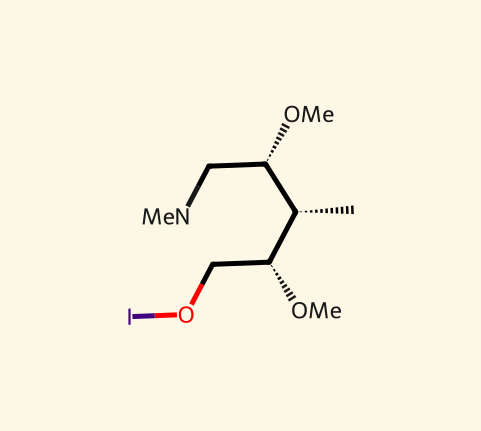 CNC[C@H](OC)[C@H](C)[C@@H](COI)OC